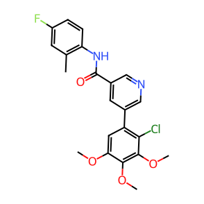 COc1cc(-c2cncc(C(=O)Nc3ccc(F)cc3C)c2)c(Cl)c(OC)c1OC